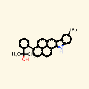 CC(C)(C)c1ccc2[nH]c3c(cc4ccc5c(-c6ccccc6C(C)(C)O)ccc6ccc3c4c65)c2c1